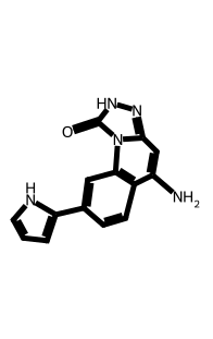 Nc1cc2n[nH]c(=O)n2c2cc(-c3ccc[nH]3)ccc12